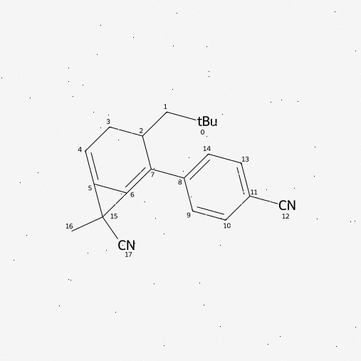 CC(C)(C)CC1CC=C2C(=C1c1ccc(C#N)cc1)C2(C)C#N